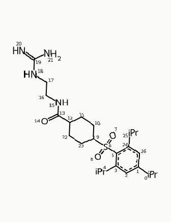 CC(C)c1cc(C(C)C)c(S(=O)(=O)C2CCC(C(=O)NCCNC(=N)N)CC2)c(C(C)C)c1